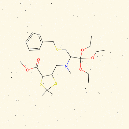 CCOC(OCC)(OCC)C(CSCc1ccccc1)N(C)CC1SC(C)(C)SC1C(=O)OC